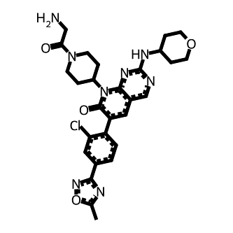 Cc1nc(-c2ccc(-c3cc4cnc(NC5CCOCC5)nc4n(C4CCN(C(=O)CN)CC4)c3=O)c(Cl)c2)no1